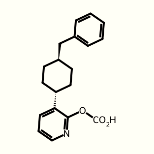 O=C(O)Oc1ncccc1[C@H]1CC[C@H](Cc2ccccc2)CC1